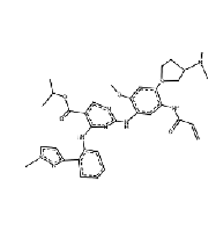 C=CC(=O)Nc1cc(Nc2ncc(C(=O)OC(C)C)c(Nc3ccccc3-c3ccn(C)n3)n2)c(OC)cc1N1CCC(N(C)C)C1